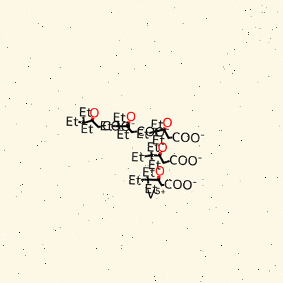 CCC(CC)(CC)C(=O)CC(=O)[O-].CCC(CC)(CC)C(=O)CC(=O)[O-].CCC(CC)(CC)C(=O)CC(=O)[O-].CCC(CC)(CC)C(=O)CC(=O)[O-].CCC(CC)(CC)C(=O)CC(=O)[O-].[V+5]